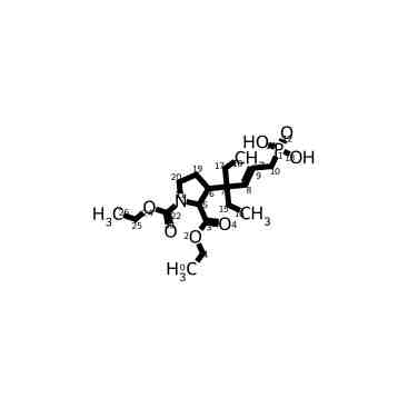 CCOC(=O)C1C(C(C=CCP(=O)(O)O)(CC)CC)CCN1C(=O)OCC